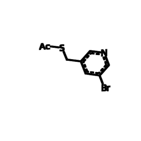 CC(=O)SCc1cncc(Br)c1